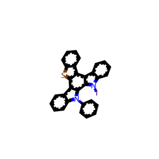 In1c2ccccc2c2c3c4ccccc4sc3c3c4ccccc4n(-c4ccccc4)c3c21